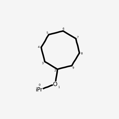 [CH2]C(C)OC1CCCCCCC1